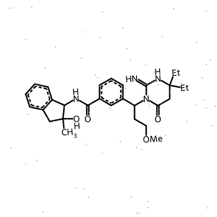 CCC1(CC)CC(=O)N(C(CCOC)c2cccc(C(=O)NC3c4ccccc4CC3(C)O)c2)C(=N)N1